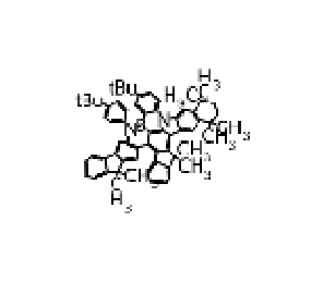 CC(C)(C)c1ccc(N2B3c4cc(C(C)(C)C)ccc4-n4c5cc6c(cc5c5c7c(c(c3c54)-c3cc4c(cc32)-c2ccccc2C4(C)C)-c2ccccc2C7(C)C)C(C)(C)CCC6(C)C)cc1